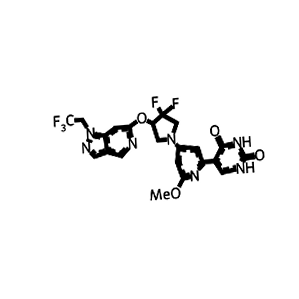 COc1cc(N2CC(Oc3cc4c(cn3)cnn4CC(F)(F)F)C(F)(F)C2)cc(-c2c[nH]c(=O)[nH]c2=O)n1